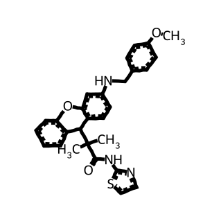 COc1ccc(CNc2ccc3c(c2)Oc2ccccc2C3C(C)(C)C(=O)Nc2nccs2)cc1